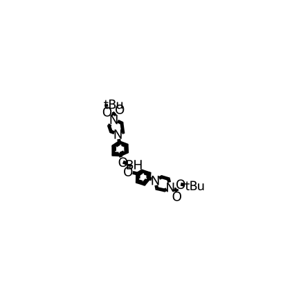 CC(C)(C)OC(=O)N1CCN(c2ccc(OBOc3ccc(N4CCN(C(=O)OC(C)(C)C)CC4)cc3)cc2)CC1